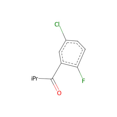 CC(C)C(=O)c1cc(Cl)ccc1F